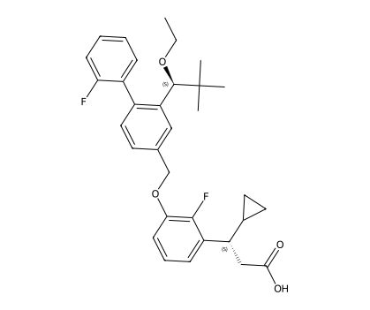 CCO[C@H](c1cc(COc2cccc([C@@H](CC(=O)O)C3CC3)c2F)ccc1-c1ccccc1F)C(C)(C)C